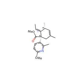 C/C=C1\[C@H](C)C=C(C)C[C@]1(C(=O)OC)c1ccc(OC)nc1C